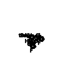 Cc1ccc(F)cc1S(=O)(=O)Nc1cc(NC(=O)c2c(F)cccc2Cl)ccc1CNC(C)(C)C